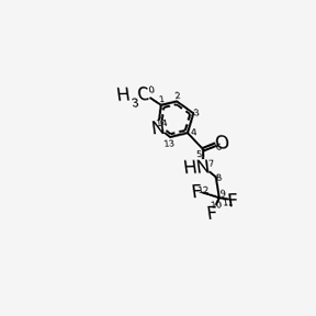 Cc1ccc(C(=O)NCC(F)(F)F)cn1